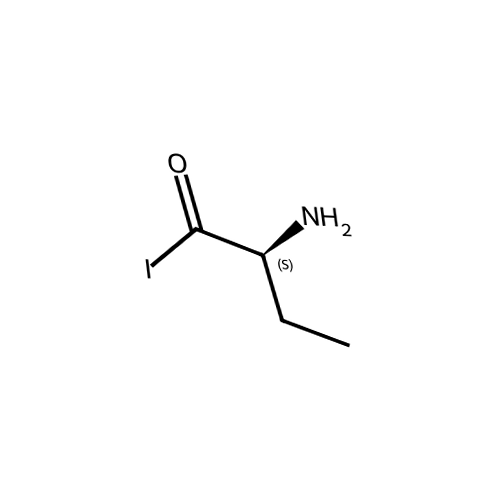 CC[C@H](N)C(=O)I